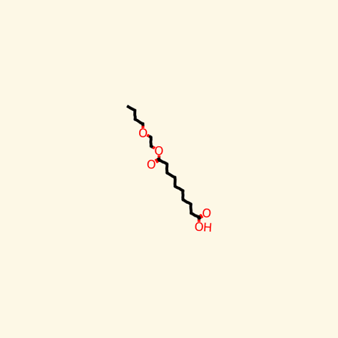 CCCCOCCOC(=O)CCCCCCCCC(=O)O